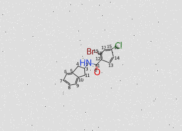 O=C(NC1Cc2ccccc2C1)c1ccc(Cl)cc1Br